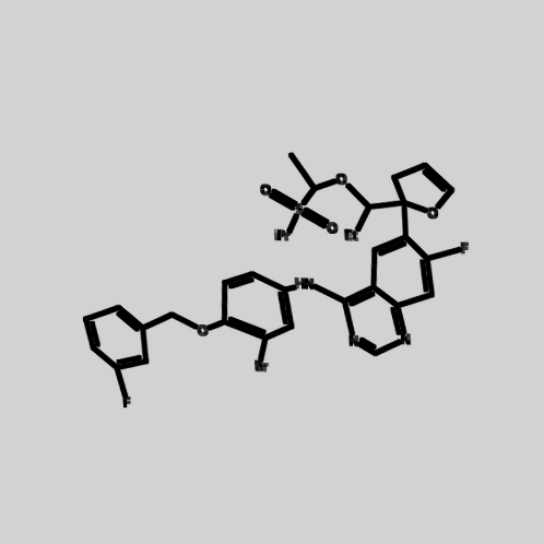 CCC(OC(C)S(=O)(=O)C(C)C)C1(c2cc3c(Nc4ccc(OCc5cccc(F)c5)c(Br)c4)ncnc3cc2F)CC=CO1